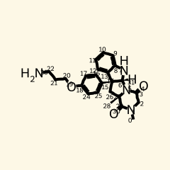 CN1CC(=O)N2[C@H]3Nc4ccccc4[C@@]3(c3ccc(OCCCN)cc3)C[C@@]2(C)C1=O